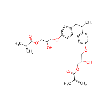 C=C(C)C(=O)OCC(O)COc1ccc(CC(C)c2ccc(OCC(O)COC(=O)C(=C)C)cc2)cc1